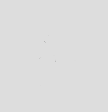 CCCCO[C@@H]1[C@@H](OCCCC)[C@@]2(c3ccc(C4CC4)c(Cc4ccc5c(c4)OCCO5)c3)OC[C@](CO)(O2)[C@H]1OCCCC